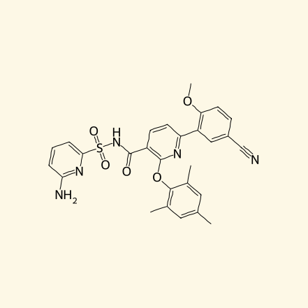 COc1ccc(C#N)cc1-c1ccc(C(=O)NS(=O)(=O)c2cccc(N)n2)c(Oc2c(C)cc(C)cc2C)n1